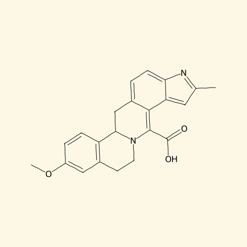 COc1ccc2c(c1)CCN1C(C(=O)O)=c3c(ccc4c3=CC(C)=N4)CC21